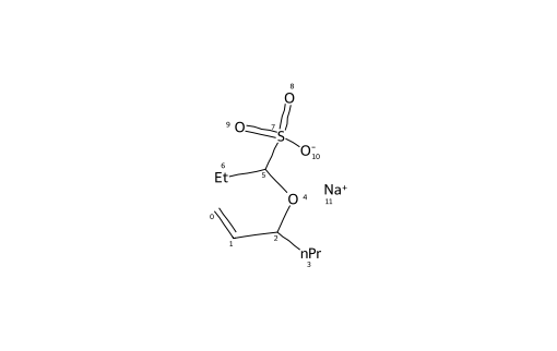 C=CC(CCC)OC(CC)S(=O)(=O)[O-].[Na+]